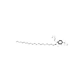 CCCCCCCCCCCCCCCCCCCCCc1nc2cc(C(=O)NC)ccc2n1CCN(C)C